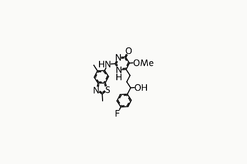 COc1c(CCC(O)c2ccc(F)cc2)[nH]c(Nc2cc3sc(C)nc3cc2C)nc1=O